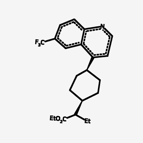 CCOC(=O)C(CC)[C@H]1CC[C@@H](c2ccnc3ccc(C(F)(F)F)cc32)CC1